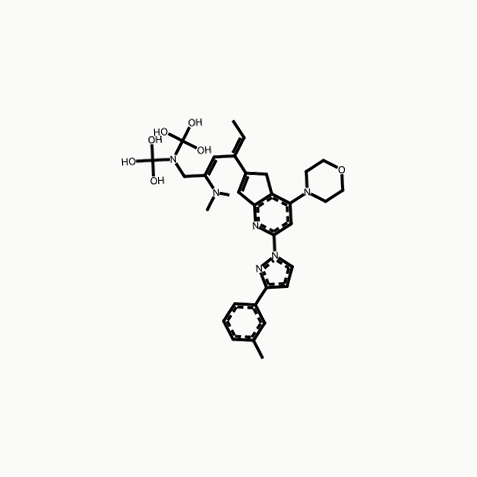 C/C=C(\C=C(\CN(C(O)(O)O)C(O)(O)O)N(C)C)C1=Cc2nc(-n3ccc(-c4cccc(C)c4)n3)cc(N3CCOCC3)c2C1